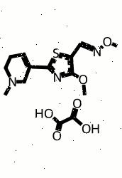 CON=Cc1sc(C2=CCCN(C)C2)nc1OC.O=C(O)C(=O)O